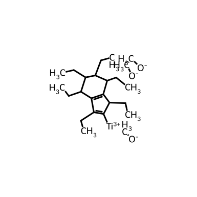 CCC1=[C]([Ti+3])C(CC)C2=C1C(CC)C(CC)C(CC)C2CC.C[O-].C[O-].C[O-]